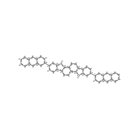 c1ccc2cc3cc(-c4ccc5c(c4)oc4c5ccc5c4ccc4c6ccc(-c7ccc8cc9ccccc9cc8c7)cc6sc45)ccc3cc2c1